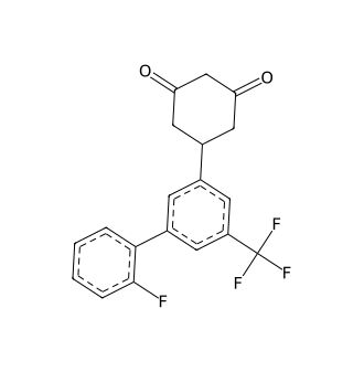 O=C1CC(=O)CC(c2cc(-c3ccccc3F)cc(C(F)(F)F)c2)C1